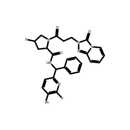 CC(C)c1ccc(C(NC(=O)C2CC(F)CN2C(=O)CCn2nc3ccccn3c2=O)c2ccccc2)nc1F